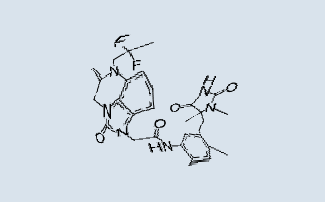 C=C1Cn2c(=O)n(CC(=O)Nc3ccc(C)c(CC4(C)C(=O)NC(=O)N4C)c3)c3cccc(c32)N1CC(C)(F)F